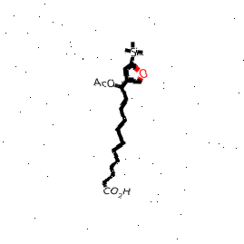 CC(=O)OC(CCCCCCCCCCC(=O)O)c1coc([Si](C)(C)C)c1